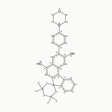 CC1(C)CC(C)(C)CC2(C1)c1ccccc1-c1c2cc(O)c2cc(-c3ccc(N4CCOCC4)cc3)c(O)cc12